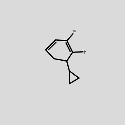 FC1=C(F)C(C2CC2)CC=C1